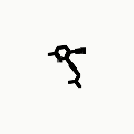 Cc1ccc(C#N)c(C#CCC(C)C)n1